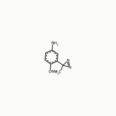 COc1ccc(N)cc1C1(C(F)(F)F)N=N1